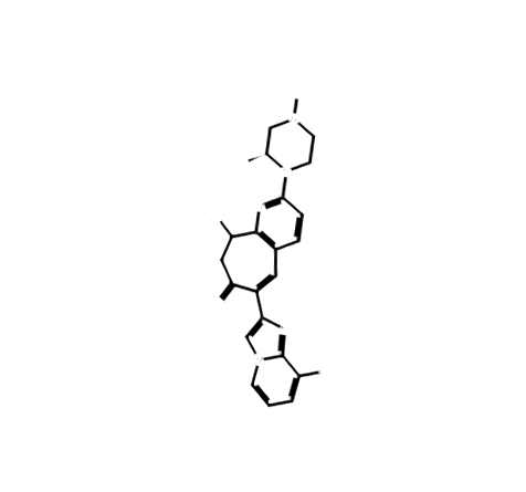 CC1CC(=O)C(c2cn3cccc(F)c3n2)=Cc2ccc(N3CCN(C)C[C@@H]3C)nc21